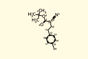 CC(C)(C)OC(=O)N(C#N)CCc1ccc(I)cc1